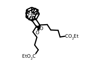 CCOC(=O)CCCCC(=O)[C]12[CH]3[CH]4[CH]5[CH]1[Fe]45321678[CH]2[CH]1[CH]6[C]7(C(=O)CCCCC(=O)OCC)[CH]28